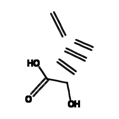 C=C.C=C.C=C.C=C.O=C(O)CO